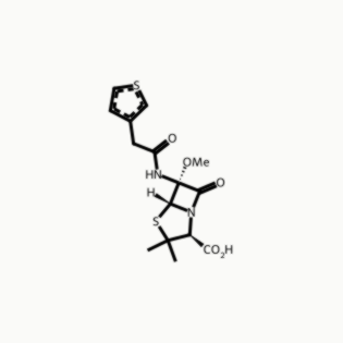 CO[C@]1(NC(=O)Cc2ccsc2)C(=O)N2[C@@H](C(=O)O)C(C)(C)S[C@@H]21